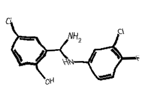 NC(Nc1ccc(F)c(Cl)c1)c1cc(Cl)ccc1O